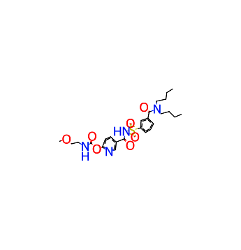 CCCCN(CCCC)C(=O)c1cccc(S(=O)(=O)NC(=O)c2ccc(OC(=O)NCCOC)nc2)c1